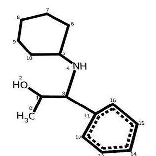 CC(O)C(NC1CCCCC1)c1ccccc1